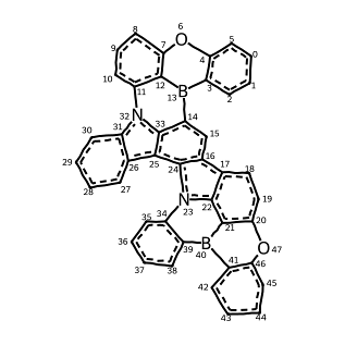 c1ccc2c(c1)Oc1cccc3c1B2c1cc2c4ccc5c6c4n(c2c2c4ccccc4n-3c12)-c1ccccc1B6c1ccccc1O5